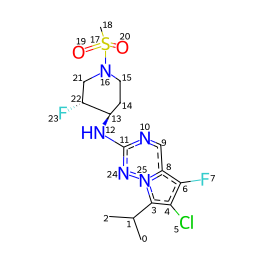 CC(C)c1c(Cl)c(F)c2cnc(N[C@@H]3CCN(S(C)(=O)=O)C[C@H]3F)nn12